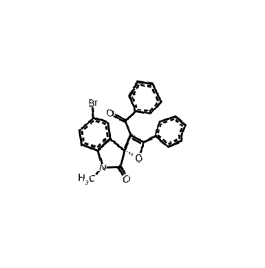 CN1C(=O)[C@@]2(OC(c3ccccc3)=C2C(=O)c2ccccc2)c2cc(Br)ccc21